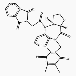 CC1=C(C)C(=O)C(CN2C(=O)[C@H]3CCC[C@H]3N(C(=O)CN3C(=O)c4ccccc4C3=O)c3ccccc32)=C(C)C1=O